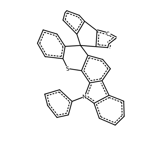 c1ccc(-n2c3ccccc3c3ccc4c(c32)Sc2ccccc2C42c3ccccc3-c3ccccc32)cc1